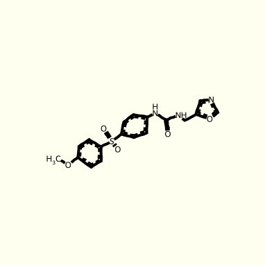 COc1ccc(S(=O)(=O)c2ccc(NC(=O)NCc3cnco3)cc2)cc1